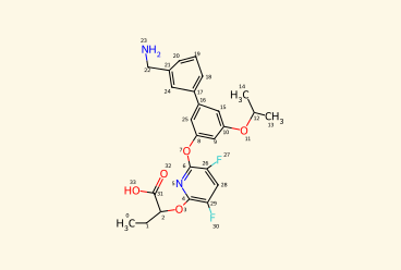 CCC(Oc1nc(Oc2cc(OC(C)C)cc(-c3cccc(CN)c3)c2)c(F)cc1F)C(=O)O